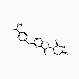 O=C1CCC(N2Cc3ccc(Cc4ccc(C(=O)O)cc4)cc3C2=O)C(=O)N1